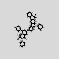 CC1(C)c2ccccc2-c2cc3c4cc(-c5cc(-c6ccccc6)c6[nH]c(=O)n(-c7ccccc7)c(=O)c6c5)ccc4n(-c4ccccc4)c3cc21